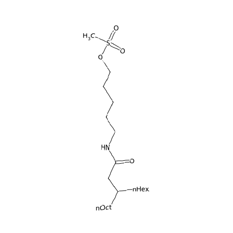 CCCCCCCCC(CCCCCC)CC(=O)NCCCCCOS(C)(=O)=O